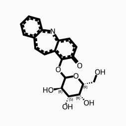 O=c1ccc2nc3ccccc3ccc-2c1OC1O[C@H](CO)[C@H](O)[C@H](O)[C@H]1O